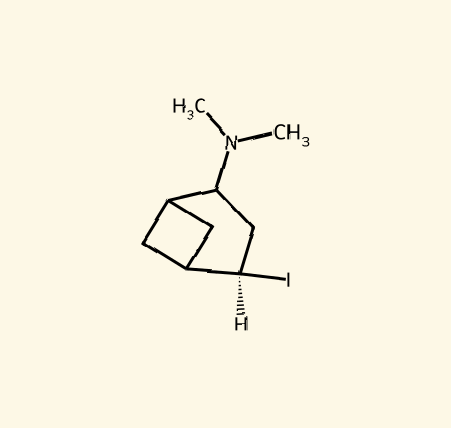 CN(C)C1C[C@@H](I)C2CC1C2